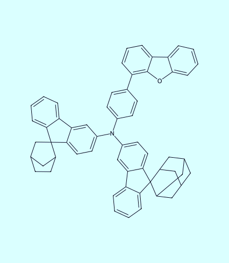 c1ccc2c(c1)-c1cc(N(c3ccc(-c4cccc5c4oc4ccccc45)cc3)c3ccc4c(c3)-c3ccccc3C43C4CC5CC(C4)CC3C5)ccc1C21CC2CCC1C2